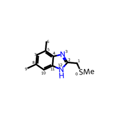 CSCc1nc2c(C)cc(C)cc2[nH]1